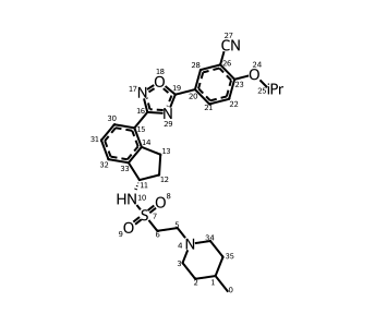 CC1CCN(CCS(=O)(=O)N[C@H]2CCc3c(-c4noc(-c5ccc(OC(C)C)c(C#N)c5)n4)cccc32)CC1